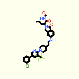 CCCC(C(=O)NC=O)N1Cc2cc(NCCC3CCN(c4ncc(-c5cccc(Cl)c5)cc4C(F)(F)F)CC3)ccc2C1=O